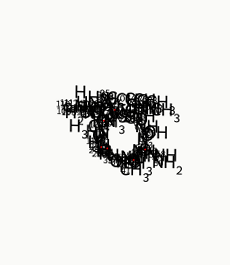 CC[C@@H](C)[C@H](NC(=O)[C@H]1NC(=O)[C@H]([C@@H](C)CC)NC(=O)[C@@H]2C[C@@H]3CCCC[C@@H]3N2C(=O)[C@@H]2CCCN2C(=O)[C@H](CC(C)C)NC(=O)[C@H](CO)NC(=O)[C@H](CCCNC(=N)N)NC(=O)[C@H](CO)NC(=O)[C@@H](NC(=O)[C@@H](NC(=O)[C@H](C)NC)[C@@H](C)CC)CSSC1(C)C)C(=O)N1CCC[C@H]1C(=O)N[C@@H](CC(=O)NCc1ccccc1)C(N)=O